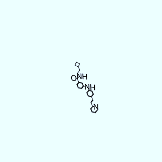 O=C(NCCC1CCC1)c1cccc(Nc2ccc(C=Cc3ccccn3)cc2)c1